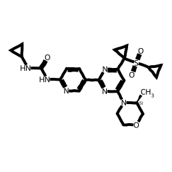 C[C@H]1COCCN1c1cc(C2(S(=O)(=O)C3CC3)CC2)nc(-c2ccc(NC(=O)NC3CC3)nc2)n1